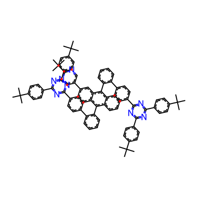 CC(C)(C)c1ccc(-c2nc(-c3ccc(-c4ccccc4-c4c5ccccc5c(-c5ccccc5-c5ccc(-c6nc(-c7ccc(C(C)(C)C)cc7)nc(-c7ccc(C(C)(C)C)cc7)n6)cc5)c5cc(-c6cnc(C(C)(C)C)nc6)ccc45)cc3)nc(-c3ccc(C(C)(C)C)cc3)n2)cc1